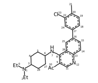 CCN(CC)C1CCC(Nc2c(C(C)=O)cnc3ccc(-c4ccc(C)c(Cl)c4)cc23)CC1